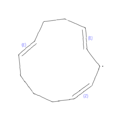 [CH]1/C=C\CCC/C=C/CC/C=C/1